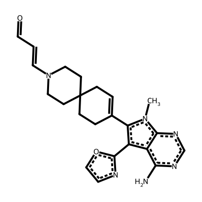 Cn1c(C2=CCC3(CC2)CCN(C=CC=O)CC3)c(-c2ncco2)c2c(N)ncnc21